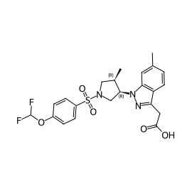 Cc1ccc2c(CC(=O)O)nn([C@H]3CN(S(=O)(=O)c4ccc(OC(F)F)cc4)C[C@H]3C)c2c1